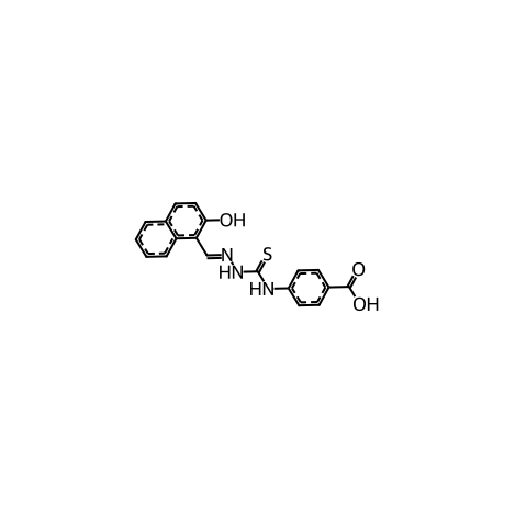 O=C(O)c1ccc(NC(=S)NN=Cc2c(O)ccc3ccccc23)cc1